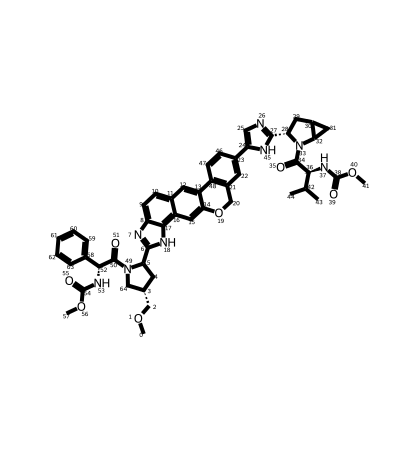 COC[C@H]1CC(c2nc3ccc4cc5c(cc4c3[nH]2)OCc2cc(-c3cnc([C@@H]4CC6CC6N4C(=O)[C@@H](NC(=O)OC)C(C)C)[nH]3)ccc2-5)N(C(=O)[C@H](NC(=O)OC)c2ccccc2)C1